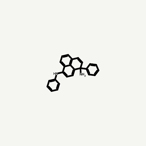 NC1(c2ccccc2)C=Cc2cccc3c(Nc4ccccc4)ccc1c23